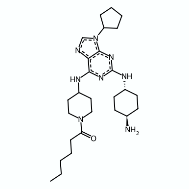 CCCCCC(=O)N1CCC(Nc2nc(N[C@H]3CC[C@H](N)CC3)nc3c2ncn3C2CCCC2)CC1